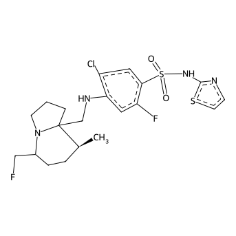 C[C@H]1CCC(CF)N2CCCC12CNc1cc(F)c(S(=O)(=O)Nc2nccs2)cc1Cl